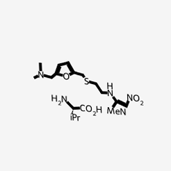 CC(C)[C@H](N)C(=O)O.CN/C(=C/[N+](=O)[O-])NCCSCc1ccc(CN(C)C)o1